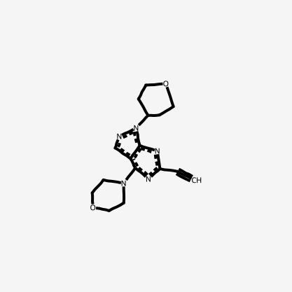 C#Cc1nc(N2CCOCC2)c2cnn(C3CCOCC3)c2n1